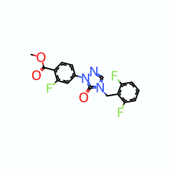 COC(=O)c1ccc(-n2ncn(Cc3c(F)cccc3F)c2=O)cc1F